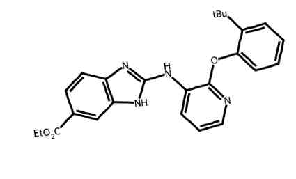 CCOC(=O)c1ccc2nc(Nc3cccnc3Oc3ccccc3C(C)(C)C)[nH]c2c1